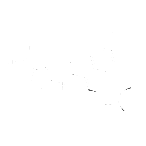 CS(=O)(=O)c1ccc(/C(=C\[C@H]2C[C@@H](F)[C@@H](F)C2)C(=O)Nc2ccn(C(F)F)n2)cc1